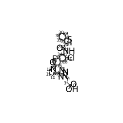 O=C(O)CCn1nnc([C@@H]2CCCN2C(=O)Cc2cc(Cl)c(NC(=O)c3csc4ccccc34)cc2F)n1